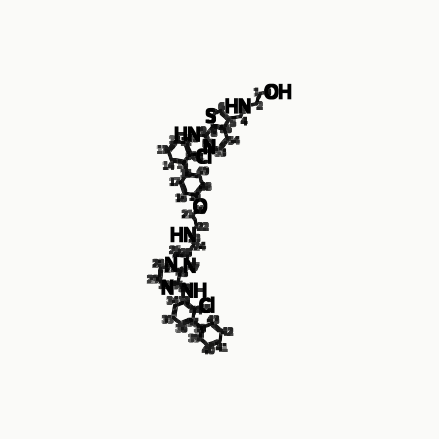 OCCNCc1csc2c(Nc3cccc(-c4ccc(OCCNCc5cn6ccnc(Nc7cccc(-c8ccccc8)c7Cl)c6n5)cc4)c3Cl)nccc12